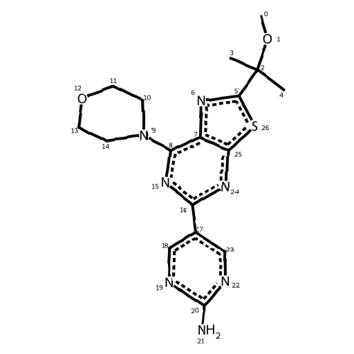 COC(C)(C)c1nc2c(N3CCOCC3)nc(-c3cnc(N)nc3)nc2s1